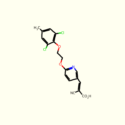 Cc1cc(Cl)c(OCCOc2ccc(/C=C(\C#N)C(=O)O)cn2)c(Cl)c1